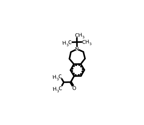 CC(C)C(=O)c1ccc2c(c1)CCN(C(C)(C)C)CC2